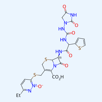 CCc1ccc(SCC2=C(C(=O)O)N3C(=O)[C@H](NC(=O)C(NC(=O)NN4CC(=O)NC4=O)c4cccs4)C3SC2)[n+]([O-])n1